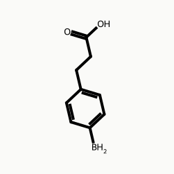 Bc1ccc(CCC(=O)O)cc1